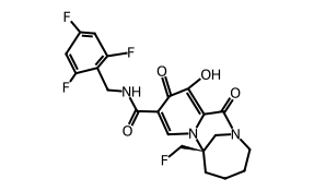 O=C(NCc1c(F)cc(F)cc1F)c1cn2c(c(O)c1=O)C(=O)N1CCCC[C@@]2(CF)C1